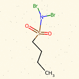 CCCCS(=O)(=O)N(Br)Br